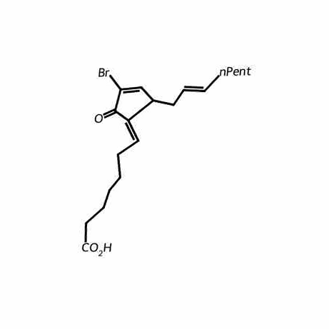 CCCCC/C=C/CC1C=C(Br)C(=O)/C1=C\CCCCCC(=O)O